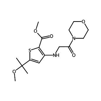 COC(=O)c1sc(C(C)(C)OC)cc1NCC(=O)N1CCOCC1